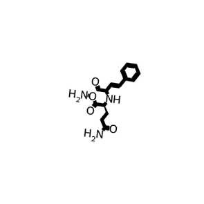 NOC(=O)[C@H](CCC(N)=O)NC(C=O)/C=C/c1ccccc1